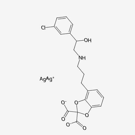 O=C([O-])C1(C(=O)[O-])Oc2cccc(CCCNCC(O)c3cccc(Cl)c3)c2O1.[Ag+].[Ag+]